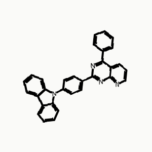 c1ccc(-c2nc(-c3ccc(-n4c5ccccc5c5ccccc54)cc3)nc3ncccc23)cc1